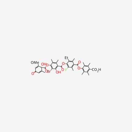 CCc1c(C)c(C(=O)Oc2c(C)c(C)c(C(=O)O)c(C)c2C)c(C)c(F)c1OC(=O)c1c(C)c(C)c(OC(=O)[C@@]2(O)C(C)=CC(=O)C=C2OC)c(Br)c1O